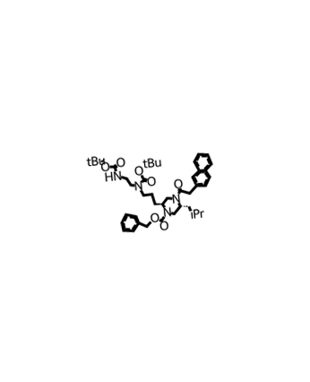 CC(C)C[C@@H]1CN(C(=O)OCc2ccccc2)[C@@H](CCCN(CCNC(=O)OC(C)(C)C)C(=O)OC(C)(C)C)CN1C(=O)Cc1ccc2ccccc2c1